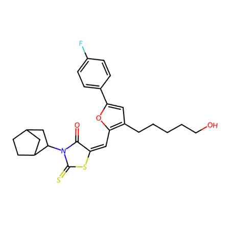 O=C1/C(=C\c2oc(-c3ccc(F)cc3)cc2CCCCCO)SC(=S)N1C1CC2CCC1C2